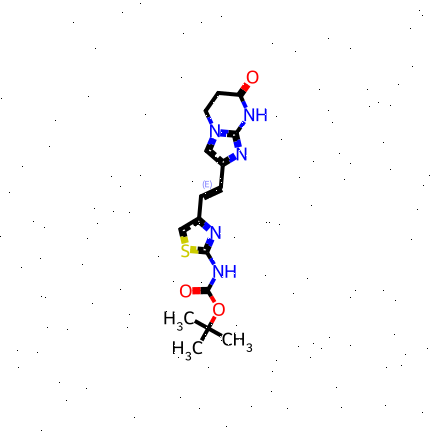 CC(C)(C)OC(=O)Nc1nc(/C=C/c2cn3c(n2)NC(=O)CC3)cs1